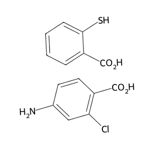 Nc1ccc(C(=O)O)c(Cl)c1.O=C(O)c1ccccc1S